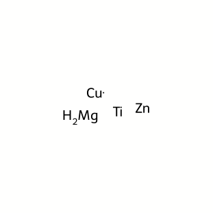 [Cu].[MgH2].[Ti].[Zn]